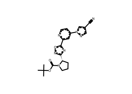 CC(C)(C)OC(=O)N1CCC[C@H]1c1noc(-c2cc(-n3cc(C#N)cn3)ccn2)n1